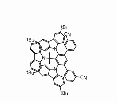 CC(C)(C)c1ccc2c(c1)c1cc(C(C)(C)C)ccc1n2-c1c(-c2cccc(C#N)c2)cc(-c2cccc(C#N)c2)c(-n2c3ccc(C(C)(C)C)cc3c3cc(C(C)(C)C)ccc32)c1C(C)(C)n1c2ccccc2c2ccccc21